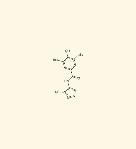 Cn1ncnc1NC(=O)c1cc(C(C)(C)C)c(O)c(C(C)(C)C)c1